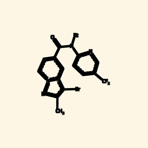 CCN(C(=O)c1ccn2nc(C)c(Br)c2c1)c1ccc(C(F)(F)F)cn1